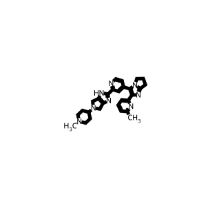 Cc1cccc(-c2nc3n(c2-c2ccnc(-c4nc5c([nH]4)CN(C4CCN(C)CC4)C5)c2)CCC3)n1